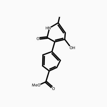 COC(=O)c1ccc(-c2c(O)cc(C)[nH]c2=O)cc1